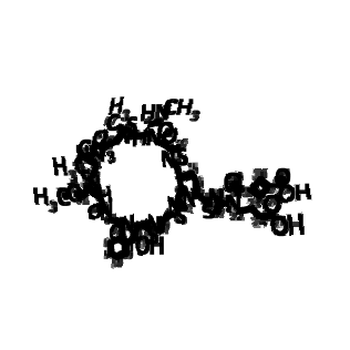 CNC(=O)C[C@@H]1NC(=O)c2csc(n2)-c2ccc(-c3nc(N(CCCC(=O)O)C(=O)[C@H]4C[C@H](C(=O)O)C4)cs3)nc2-c2csc(n2)-c2csc(n2)[C@H]([C@@H](O)c2ccccc2)NC(=O)CNC(=O)c2nc(sc2COC)C(C(C)C)NC(=O)c2nc1sc2C